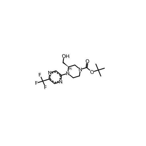 CC(C)(C)OC(=O)N1CCN(c2cnc(C(F)(F)F)cn2)[C@@H](CO)C1